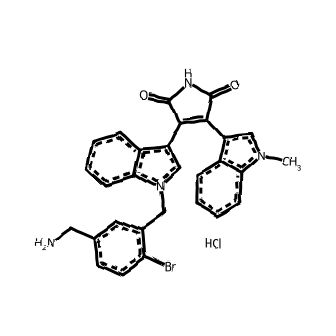 Cl.Cn1cc(C2=C(c3cn(Cc4cc(CN)ccc4Br)c4ccccc34)C(=O)NC2=O)c2ccccc21